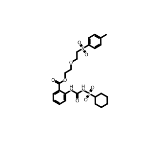 Cc1ccc(S(=O)(=O)CCOCCOC(=O)c2ccccc2NC(=O)NS(=O)(=O)C2CCCCC2)cc1